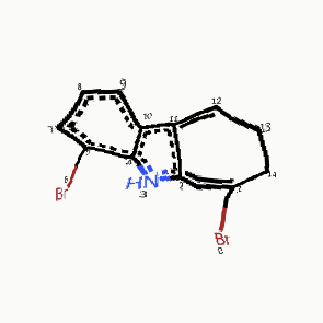 BrC1=c2[nH]c3c(Br)cccc3c2=CCC1